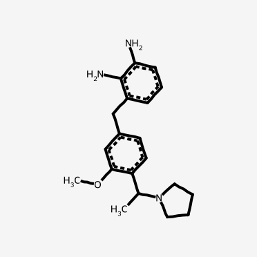 COc1cc(Cc2cccc(N)c2N)ccc1C(C)N1CCCC1